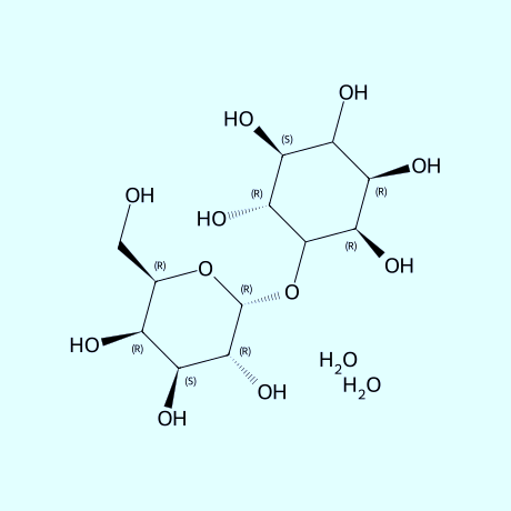 O.O.OC[C@H]1O[C@H](OC2[C@H](O)[C@H](O)C(O)[C@H](O)[C@H]2O)[C@H](O)[C@@H](O)[C@H]1O